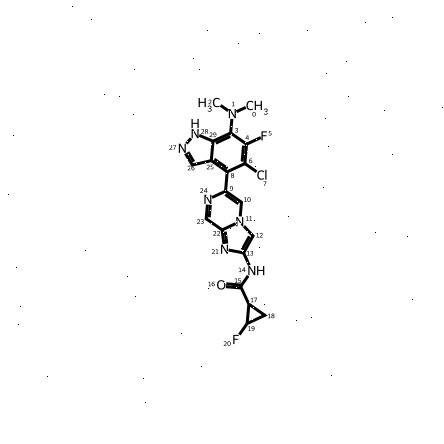 CN(C)c1c(F)c(Cl)c(-c2cn3cc(NC(=O)C4CC4F)nc3cn2)c2cn[nH]c12